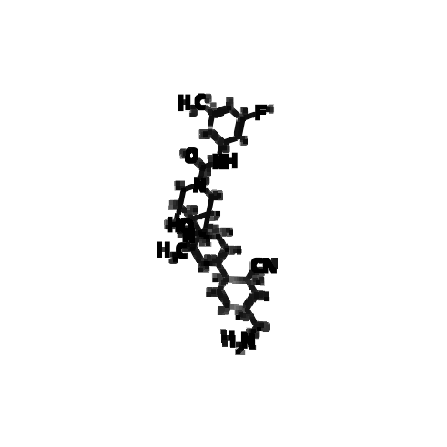 Cc1cc(F)cc(NC(=O)N2CC3CN(C)CC(C2)C3(O)c2ccc(-c3ccc(CN)cc3C#N)cc2)c1